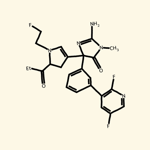 CCC(=O)C1CC(C2(c3cccc(-c4cc(F)cnc4F)c3)N=C(N)N(C)C2=O)=CN1CCF